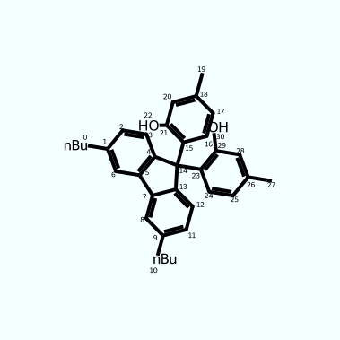 CCCCc1ccc2c(c1)-c1cc(CCCC)ccc1C2(c1ccc(C)cc1O)c1ccc(C)cc1O